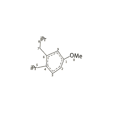 COc1ccc(C(C)C)c(CC(C)C)c1